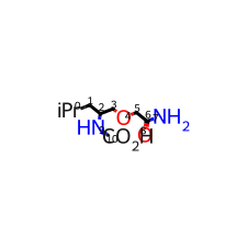 CC(C)CC(COCC(N)=O)NC(=O)O